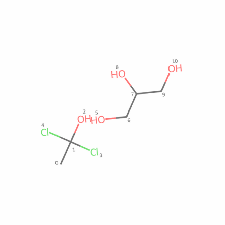 CC(O)(Cl)Cl.OCC(O)CO